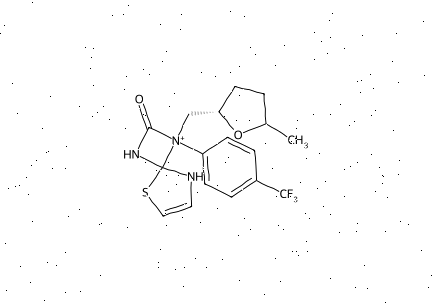 CC1CC[C@@H](C[N+]2(c3ccc(C(F)(F)F)cc3)C(=O)NC23NC=CS3)O1